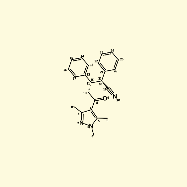 Cc1nn(C)c(C)c1C(=O)C[C@H](c1ccccc1)[C@H](C#N)c1ccccc1